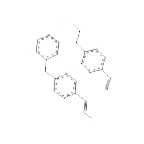 C=Cc1ccc(CCCCCCCCCCCC)cc1.CCC=Cc1ccc(Cc2ccccc2)cc1